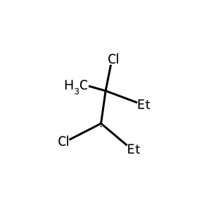 CC[C](Cl)C(C)(Cl)CC